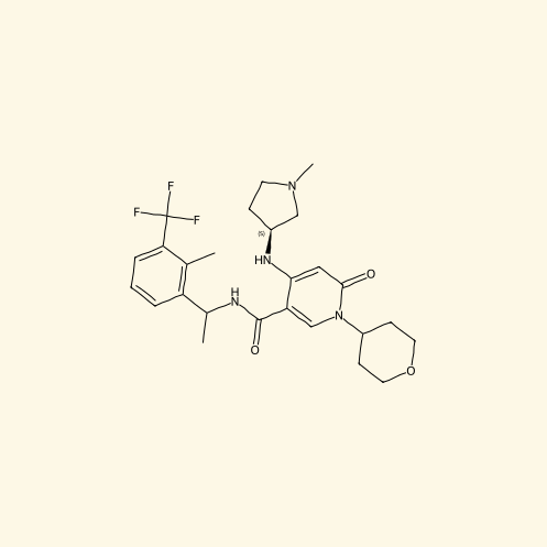 Cc1c(C(C)NC(=O)c2cn(C3CCOCC3)c(=O)cc2N[C@H]2CCN(C)C2)cccc1C(F)(F)F